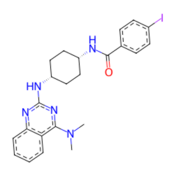 CN(C)c1nc(N[C@H]2CC[C@@H](NC(=O)c3ccc(I)cc3)CC2)nc2ccccc12